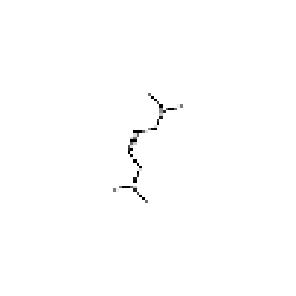 CC(C)C/C=C\CN(C)C